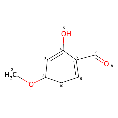 COC1C=C(O)C(C=O)=CC1